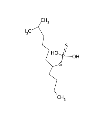 CCCCC(CCCCC(C)C)SP(O)(O)=S